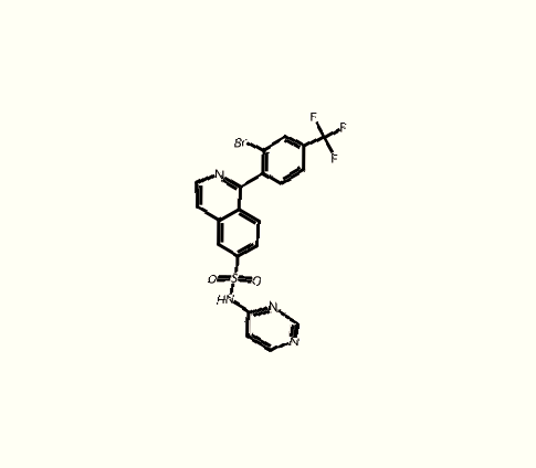 O=S(=O)(Nc1ccncn1)c1ccc2c(-c3ccc(C(F)(F)F)cc3Br)nccc2c1